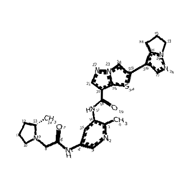 Cc1ncc(NC(=O)CN2CCC[C@@H]2C)cc1NC(=O)c1cnn2cc(-c3cnn4c3CCC4)sc12